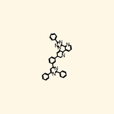 C1=c2c(c3cccnc3c3nc(-c4ccccc4)nn23)=NCC1c1cccc(-c2cc(-c3ccccc3)nc(-c3ccccc3)n2)c1